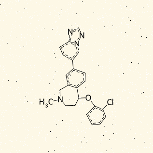 CN1CCC(Oc2ccccc2Cl)c2ccc(-c3ccc4ncnn4c3)cc2C1